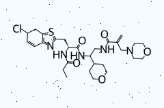 C=C(CN1CCOCC1)C(=O)NCC(NC(=O)[C@H](Cc1nc2c(s1)CC(Cl)C=C2)NC(=O)CC)C1CCOCC1